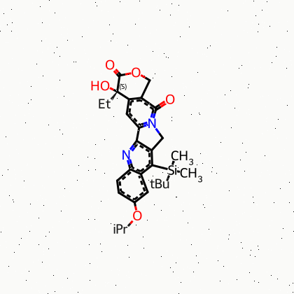 CC[C@@]1(O)C(=O)OCc2c1cc1n(c2=O)Cc2c-1nc1ccc(OC(C)C)cc1c2[Si](C)(C)C(C)(C)C